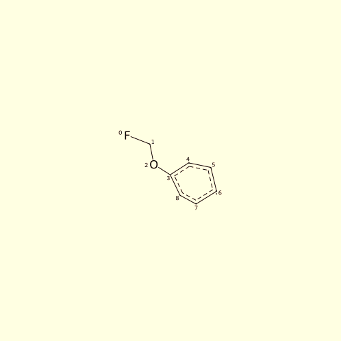 FCOc1cc[c]cc1